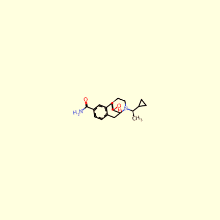 C[C@H](C1CC1)N1CC[C@]23CCCC[C@@]2(O)C1Cc1ccc(C(N)=O)cc13